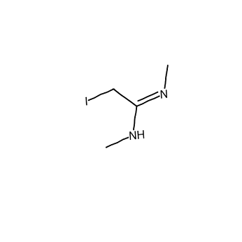 C/N=C(\CI)NC